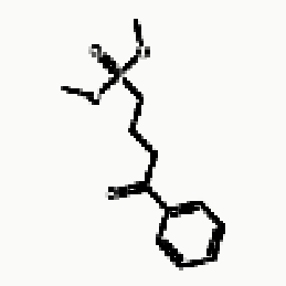 COP(=O)(CCCC(=O)c1ccccc1)OC